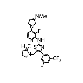 CN[C@H]1CCN(c2ccnc(Nc3nc(-c4cc(F)cc(C(F)(F)F)c4)c(CN4CCC[C@H]4C)s3)c2F)C1